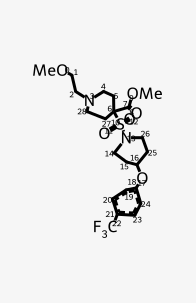 COCCN1CCC(C(=O)OC)(S(=O)(=O)N2CCC(Oc3ccc(C(F)(F)F)cc3)CC2)CC1